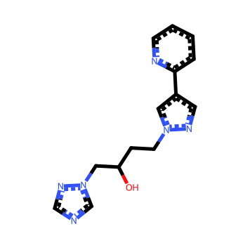 OC(CCn1cc(-c2ccccn2)cn1)Cn1cncn1